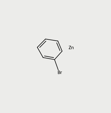 Brc1ccccc1.[Zn]